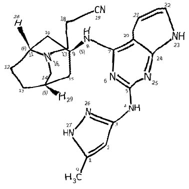 Cc1cc(Nc2nc(N[C@@H]3C[C@H]4CC[C@@H](C3)N4CCC#N)c3cc[nH]c3n2)n[nH]1